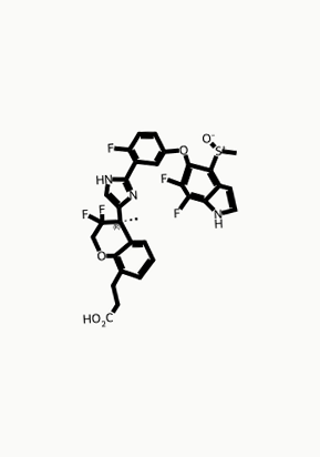 C[S+]([O-])c1c(Oc2ccc(F)c(-c3nc([C@@]4(C)c5cccc(CCC(=O)O)c5OCC4(F)F)c[nH]3)c2)c(F)c(F)c2[nH]ccc12